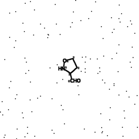 O=CC1CCON1